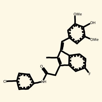 COc1cc(/C=C2/C(C)=C(CC(=O)Nc3ccc(Cl)cc3)c3cc(F)ccc32)cc(OC)c1O